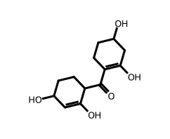 O=C(C1=C(O)CC(O)CC1)C1CCC(O)C=C1O